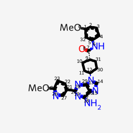 COc1cccc(NC(=O)[C@H]2CC[C@@H](n3cnc4c(N)nc(-c5ccc(OC)nc5)nc43)CC2)c1